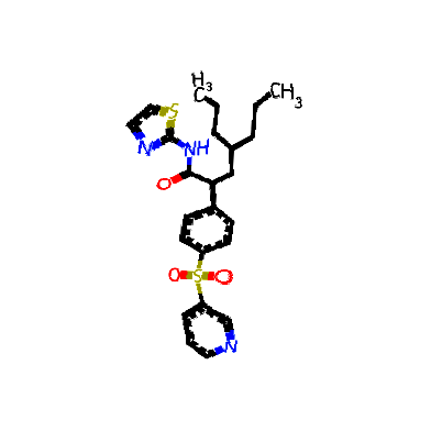 CCCC(CCC)CC(C(=O)Nc1nccs1)c1ccc(S(=O)(=O)c2cccnc2)cc1